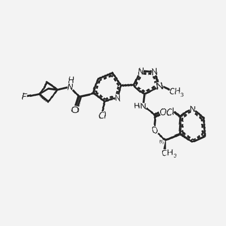 C[C@@H](OC(=O)Nc1c(-c2ccc(C(=O)NC34CC(F)(C3)C4)c(Cl)n2)nnn1C)c1cccnc1Cl